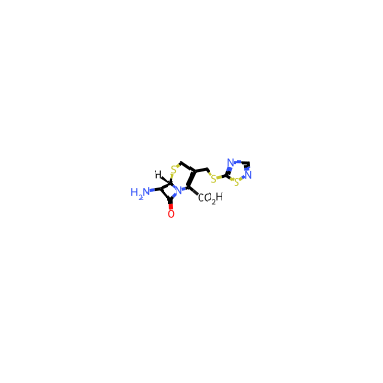 NC1C(=O)N2C(C(=O)O)=C(CSc3ncns3)CS[C@@H]12